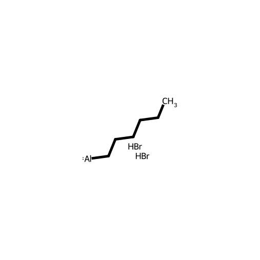 Br.Br.CCCCC[CH2][Al]